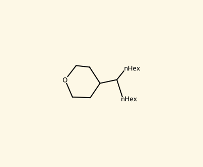 CCCCCCC(CCCCCC)C1CCOCC1